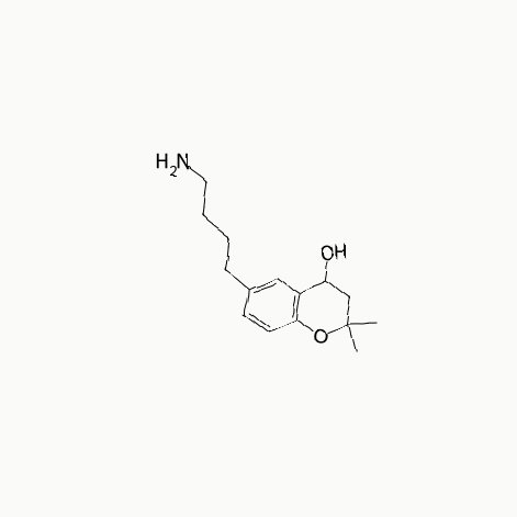 CC1(C)CC(O)c2cc(CCCCN)ccc2O1